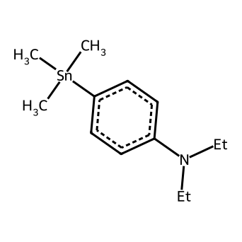 CCN(CC)c1cc[c]([Sn]([CH3])([CH3])[CH3])cc1